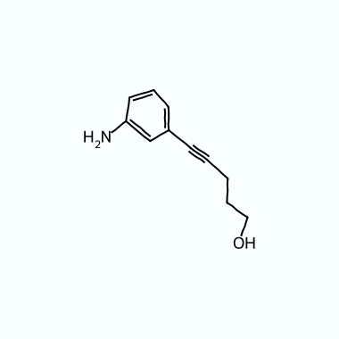 Nc1cccc(C#CCCCO)c1